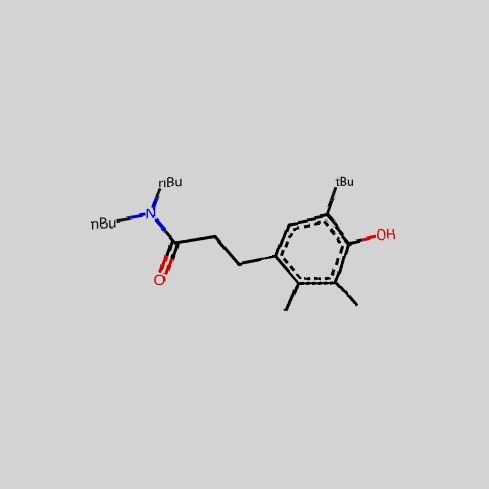 CCCCN(CCCC)C(=O)CCc1cc(C(C)(C)C)c(O)c(C)c1C